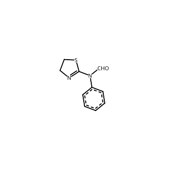 O=CN(C1=NCCS1)c1ccccc1